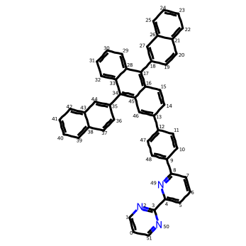 c1cnc(-c2cccc(-c3ccc(-c4ccc5c(-c6ccc7ccccc7c6)c6ccccc6c(-c6ccc7ccccc7c6)c5c4)cc3)n2)nc1